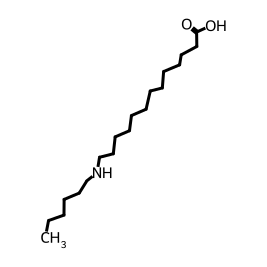 CCCCCCNCCCCCCCCCCCCC(=O)O